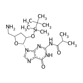 CC(C)C(=O)Nc1nc2c(ncn2[C@@H]2OC(CN)CC2O[Si](C)(C)C(C)(C)C)c(=O)[nH]1